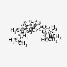 CCCC(OC1CC[C@@]2(C)C(=CCC3C2CC[C@@]2(C)C3CC[C@@H]2[C@H](C)CCCC(C)C)C1)OC(CO)CN(C)C